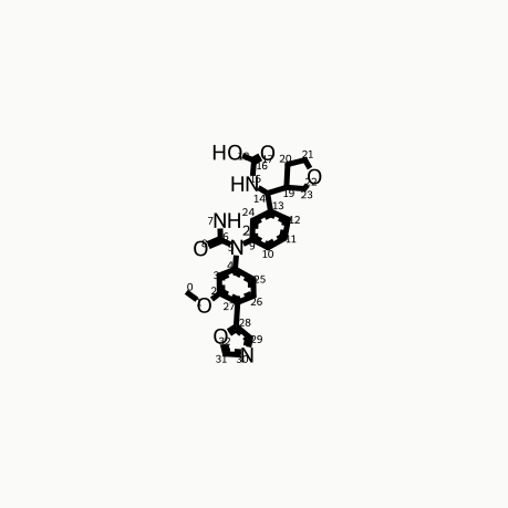 COc1cc(N(C(N)=O)c2cccc(C(NC(=O)O)C3CCOC3)c2)ccc1-c1cnco1